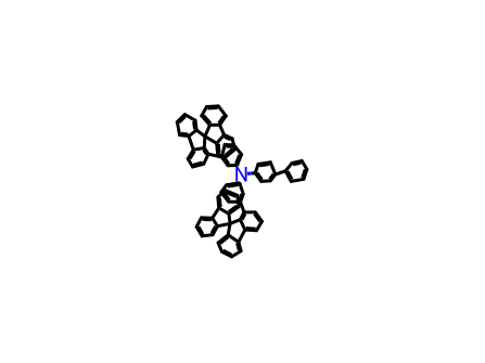 c1ccc(-c2ccc(N(c3cccc(-c4cccc5c4C4(c6ccccc6-c6ccccc64)c4ccccc4-5)c3)c3cccc(-c4cccc5c4C4(c6ccccc6-c6ccccc64)c4ccccc4-5)c3)cc2)cc1